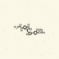 COc1ccc(-c2c[nH]c(/C=C3\C(=O)Nc4ccc(NC(N)=O)cc43)c2)cc1OC